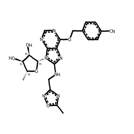 Cc1nc(CNc2nc3c(OCc4ccc(C#N)cc4)ncnc3n2[C@@H]2O[C@H](C)[C@@H](O)[C@H]2O)no1